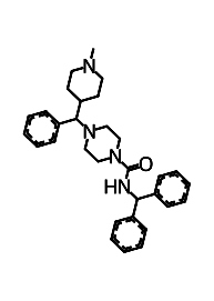 CN1CCC(C(c2ccccc2)N2CCN(C(=O)NC(c3ccccc3)c3ccccc3)CC2)CC1